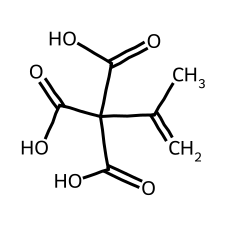 C=C(C)C(C(=O)O)(C(=O)O)C(=O)O